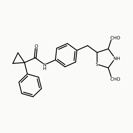 O=CC1NC(C=O)C(Cc2ccc(NC(=O)C3(c4ccccc4)CC3)cc2)S1